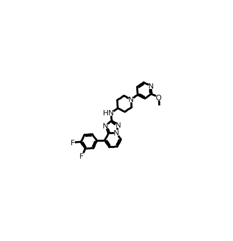 COc1cc(N2CCC(Nc3nc4c(-c5ccc(F)c(F)c5)cccn4n3)CC2)ccn1